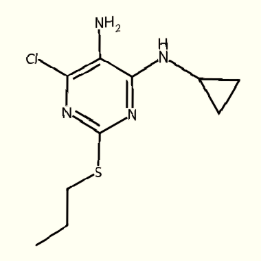 CCCSc1nc(Cl)c(N)c(NC2CC2)n1